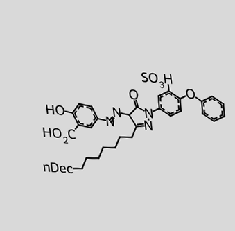 CCCCCCCCCCCCCCCCCC1=NN(c2ccc(Oc3ccccc3)c(S(=O)(=O)O)c2)C(=O)C1/N=N/c1ccc(O)c(C(=O)O)c1